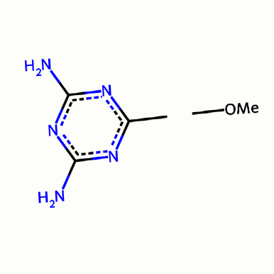 COC.Cc1nc(N)nc(N)n1